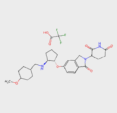 COC1CCC(CN[C@H]2CCC[C@@H]2Oc2ccc3c(c2)CN(C2CCC(=O)NC2=O)C3=O)CC1.O=C(O)C(F)(F)F